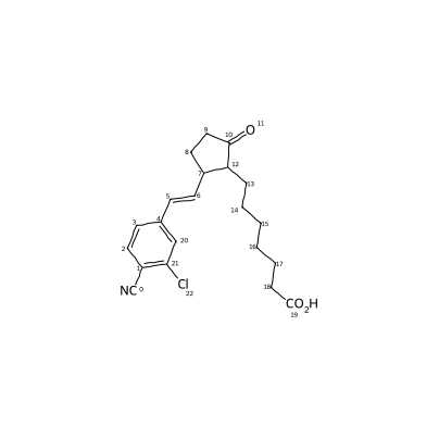 N#Cc1ccc(/C=C/C2CCC(=O)C2CCCCCCC(=O)O)cc1Cl